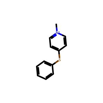 C[n+]1ccc(Sc2ccccc2)cc1